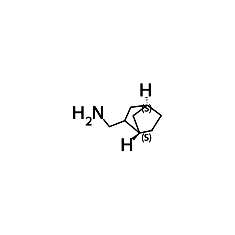 NCC1C[C@H]2CC[C@H]1C2